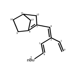 C=CC(C=CCCCC)=CC1=C2CCC(C1)C2